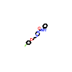 O=C(Nc1ccccc1)N1CCN(CCCOc2ccc(F)cc2)CC1